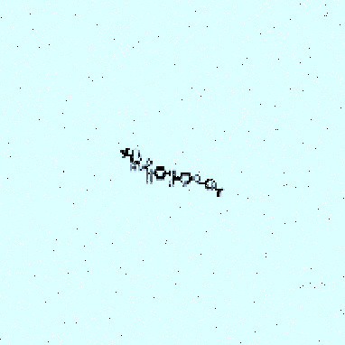 CC(C)N1CCC(COc2ccc(C(=O)Nc3ccc(NC(=O)Nc4cc(C(C)(C)C)on4)cc3)nc2)C1